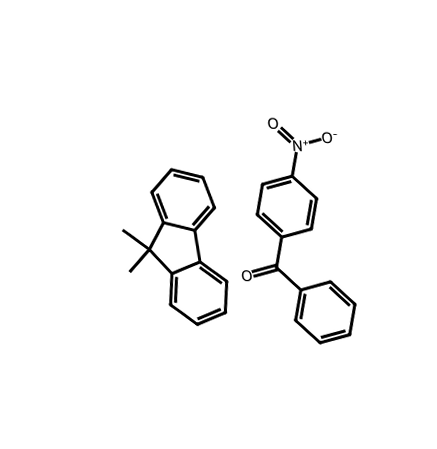 CC1(C)c2ccccc2-c2ccccc21.O=C(c1ccccc1)c1ccc([N+](=O)[O-])cc1